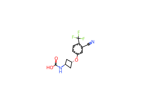 N#Cc1cc(O[C@H]2C[C@H](NC(=O)O)C2)ccc1C(F)(F)F